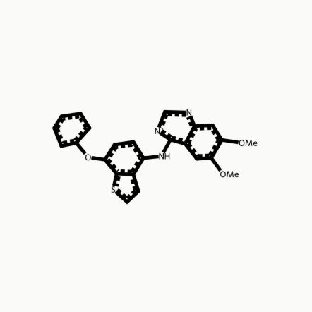 COc1cc2ncnc(Nc3ccc(Oc4ccccc4)c4sccc34)c2cc1OC